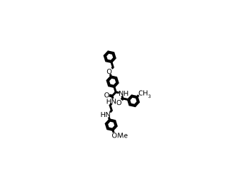 COc1ccc(NCCNC(=O)C(NC(=O)c2cccc(C)c2)c2ccc(OCc3ccccc3)cc2)cc1